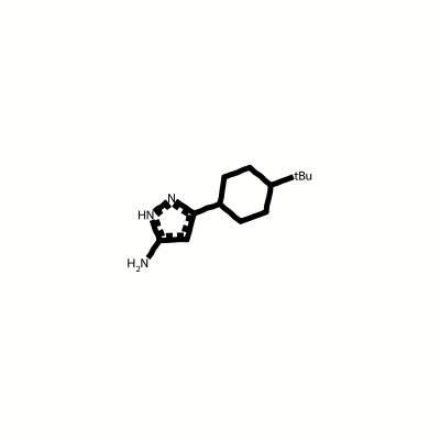 CC(C)(C)C1CCC(c2cc(N)[nH]n2)CC1